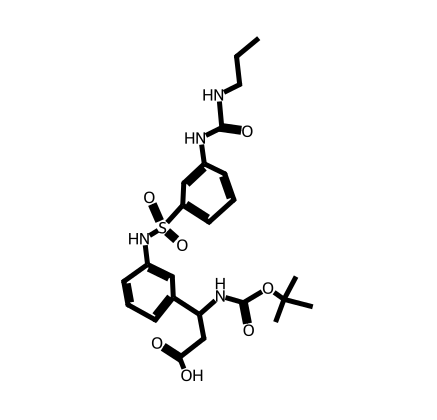 CCCNC(=O)Nc1cccc(S(=O)(=O)Nc2cccc(C(CC(=O)O)NC(=O)OC(C)(C)C)c2)c1